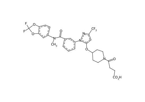 CN(C(=O)c1cccc(-n2nc(C(F)(F)F)cc2OC2CCN(C(=O)CCC(=O)O)CC2)c1)c1ccc2c(c1)OC(F)(F)O2